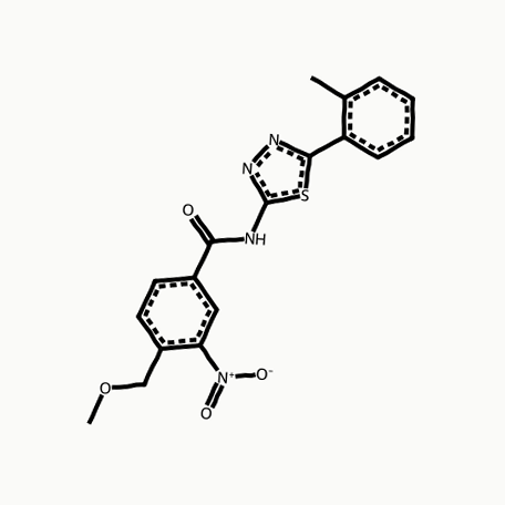 COCc1ccc(C(=O)Nc2nnc(-c3ccccc3C)s2)cc1[N+](=O)[O-]